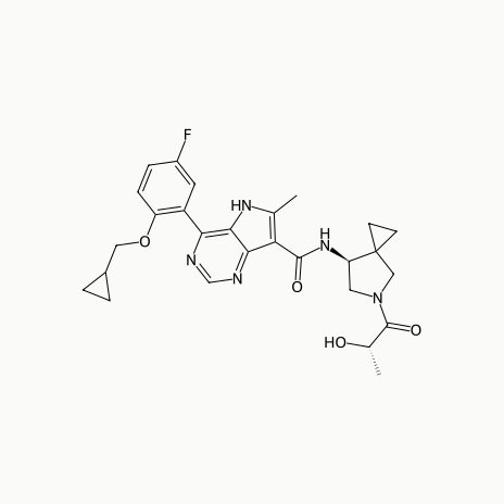 Cc1[nH]c2c(-c3cc(F)ccc3OCC3CC3)ncnc2c1C(=O)N[C@@H]1CN(C(=O)[C@H](C)O)CC12CC2